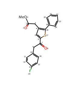 COC(=O)Cc1cc(C(=O)Cc2ccc(F)cc2)sc1-c1ccccc1